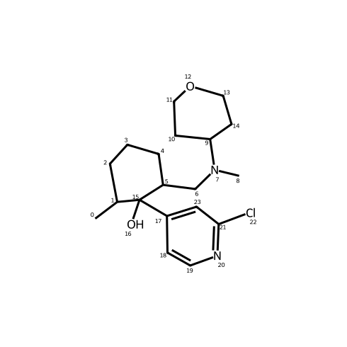 CC1CCCC(CN(C)C2CCOCC2)C1(O)c1ccnc(Cl)c1